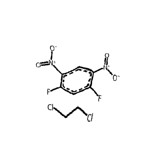 ClCCCl.O=[N+]([O-])c1cc([N+](=O)[O-])c(F)cc1F